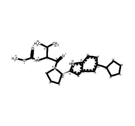 COC(=O)NC(C(=O)N1CCC[C@H]1c1cc2cc(C3CCCC3)ccc2[nH]1)C(C)C